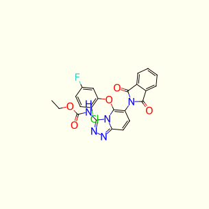 CCOC(=O)Nc1nnc2ccc(N3C(=O)c4ccccc4C3=O)c(Oc3cc(F)ccc3Cl)n12